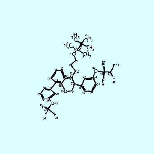 CC(C)(C)[Si](C)(C)OCCCN1c2cccc(-c3cccc(OC(F)(F)F)c3)c2OCC1c1cccc(OC(F)(F)C(F)F)c1